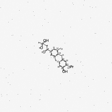 Cc1cc(C(=O)CP(C)(=O)O)cc(C)c1Cc1ccc(O)c(C(C)C)c1